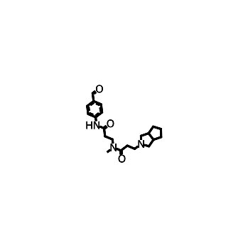 CN(CCC(=O)Nc1ccc(C=O)cc1)C(=O)CCN1CC2CCCC2C1